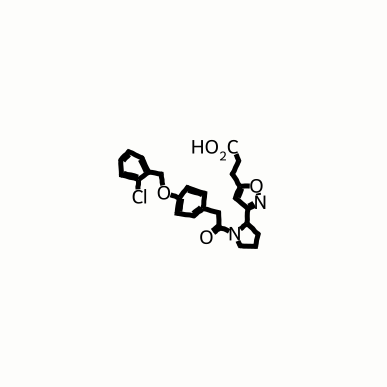 O=C(O)CCc1cc(C2CCCN2C(=O)Cc2ccc(OCc3ccccc3Cl)cc2)no1